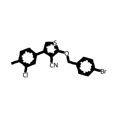 Cc1ccc(-c2csc(OCc3ccc(Br)cc3)c2C#N)cc1Cl